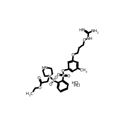 CCOC(=O)C[N+]1(S(=O)(=O)c2ccccc2S(=O)(=O)Oc2cc(C)cc(OCCCONC(=N)N)c2)CCNCC1.Cl.Cl